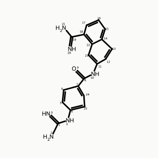 N=C(N)Nc1ccc(C(=O)Nc2ccc3cccc(C(=N)N)c3c2)cc1